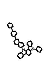 c1ccc(-c2ccc(-c3ccc4cc(-n5c6ccccc6c6ccc7c(c8ccccc8n7-c7ccccc7)c65)ccc4c3)cc2)cc1